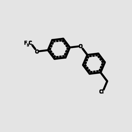 FC(F)(F)Oc1ccc(Oc2ccc(CCl)cc2)cc1